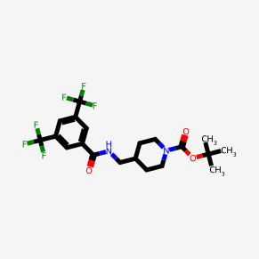 CC(C)(C)OC(=O)N1CCC(CNC(=O)c2cc(C(F)(F)F)cc(C(F)(F)F)c2)CC1